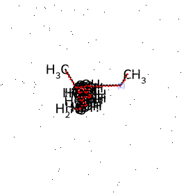 CCCCCCCC/C=C\CCCCCCCCCCCCCCCCCCCC(=O)OC[C@@H](O)COP(=O)(O)OC1[C@H](O[C@H]2OC(CO)[C@@H](O[C@H]3OC(CO[C@H]4OC(CO)[C@@H](O)C(O)[C@H]4O[C@H]4OC(COP(=O)(O)OCCN)[C@H](O)[C@H](O)C4O)[C@@H](O)C(O)[C@H]3O)[C@H](O)C2N)C(O)C(O)[C@@H](O)[C@@H]1OC(=O)CCCCCCCCCCCCCCC